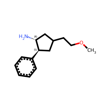 COCCC1C[C@@H](N)[C@H](c2ccccc2)C1